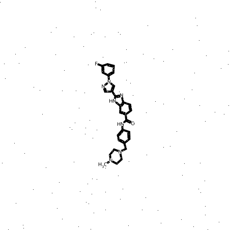 CN1CCN(Cc2ccc(NC(=O)c3ccc4nc(-c5cnn(-c6cccc(F)c6)c5)[nH]c4c3)cc2)CC1